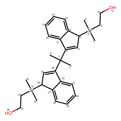 CC(C)(C1=CC([Si](C)(C)CCO)c2ccccc21)C1=CC([Si](C)(C)CCO)c2ccccc21